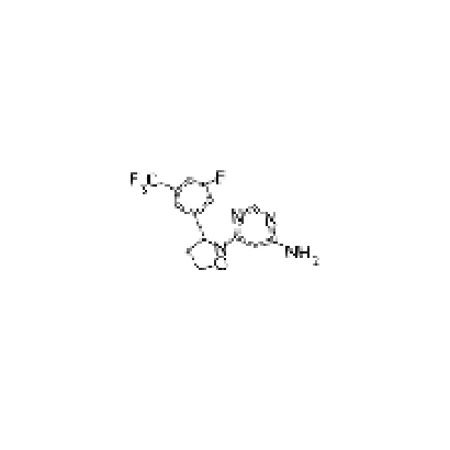 Nc1cc(N2OCCC2c2cc(F)cc(C(F)(F)F)c2)ncn1